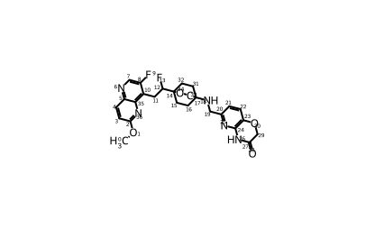 COc1ccc2ncc(F)c(CC(F)C34CCC(NCc5ccc6c(n5)NC(=O)CO6)(CC3)CO4)c2n1